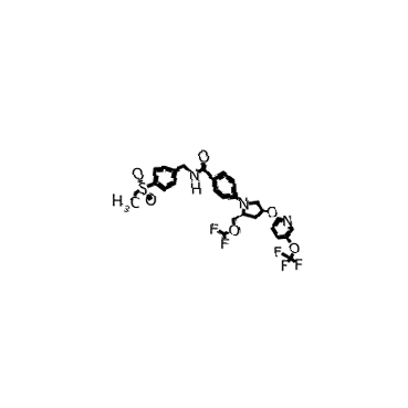 CCS(=O)(=O)c1ccc(CNC(=O)c2ccc(N3C[C@@H](Oc4ccc(OC(F)(F)F)cn4)C[C@H]3COC(F)F)cc2)cc1